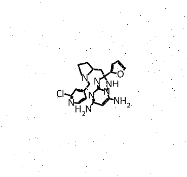 NC1=CC(N)=NC2=NC(CC3CCCN3Cc3ccnc(Cl)c3)(c3ccco3)NN12